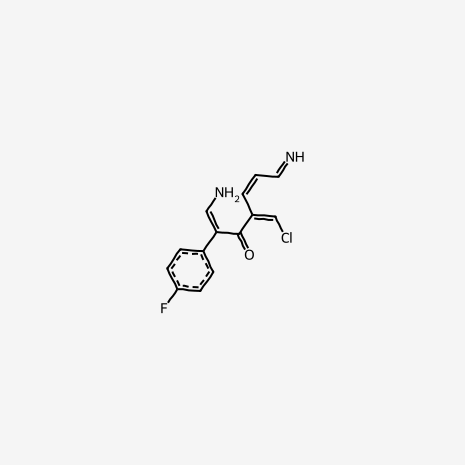 N=C/C=C\C(=C\Cl)C(=O)/C(=C\N)c1ccc(F)cc1